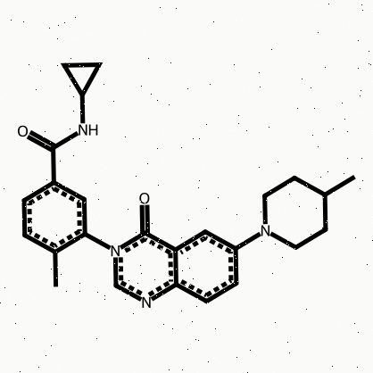 Cc1ccc(C(=O)NC2CC2)cc1-n1cnc2ccc(N3CCC(C)CC3)cc2c1=O